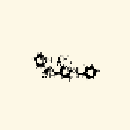 COc1nc(NCc2ccccc2)c(F)cc1CNC(=O)[C@@H]1CCCN1